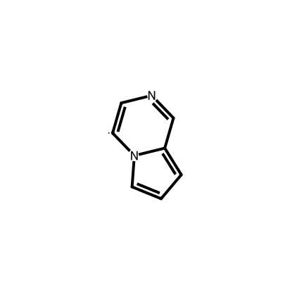 [c]1cncc2cccn12